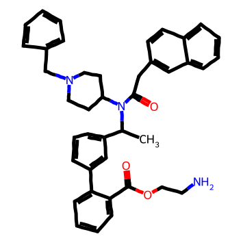 CC(c1cccc(-c2ccccc2C(=O)OCCN)c1)N(C(=O)Cc1ccc2ccccc2c1)C1CCN(Cc2ccccc2)CC1